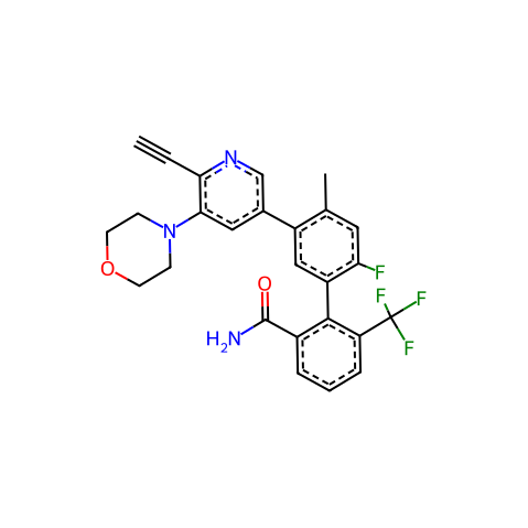 C#Cc1ncc(-c2cc(-c3c(C(N)=O)cccc3C(F)(F)F)c(F)cc2C)cc1N1CCOCC1